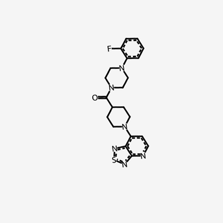 O=C(C1CCN(c2ccnc3nsnc23)CC1)N1CCN(c2ccccc2F)CC1